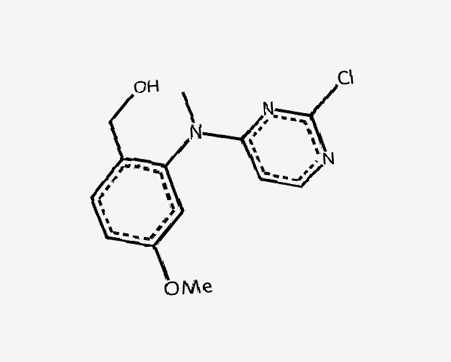 COc1ccc(CO)c(N(C)c2ccnc(Cl)n2)c1